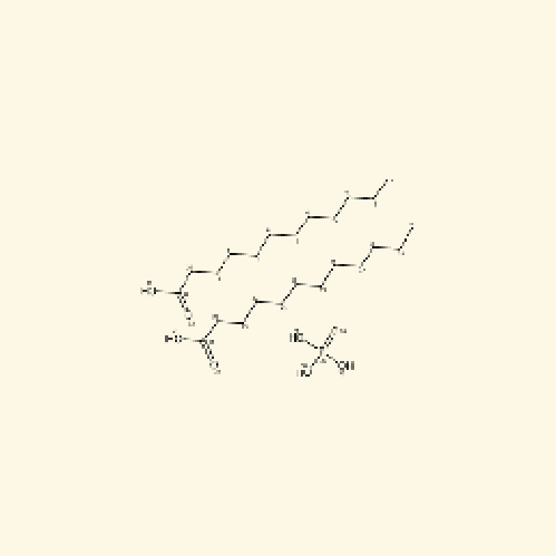 CCCCCCCCCCCC(=O)O.CCCCCCCCCCCC(=O)O.O=P(O)(O)O